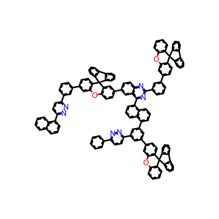 c1ccc(-c2ccc(-c3cc(-c4ccc5c(c4)Oc4ccccc4C54c5ccccc5-c5ccccc54)cc(-c4cccc5c(-c6nc(-c7cccc(-c8ccc9c(c8)Oc8ccccc8C98c9ccccc9-c9ccccc98)c7)nc7ccc(-c8ccc9c(c8)C8(c%10ccc(-c%11cccc(-c%12ccc(-c%13cccc%14ccccc%13%14)nn%12)c%11)cc%10O9)c9ccccc9-c9ccccc98)cc67)cccc45)c3)nn2)cc1